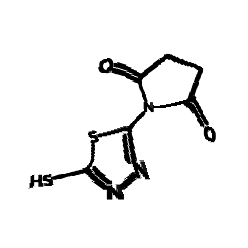 O=C1CCC(=O)N1c1nnc(S)s1